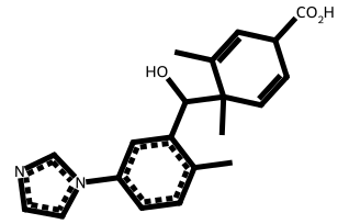 CC1=CC(C(=O)O)C=CC1(C)C(O)c1cc(-n2ccnc2)ccc1C